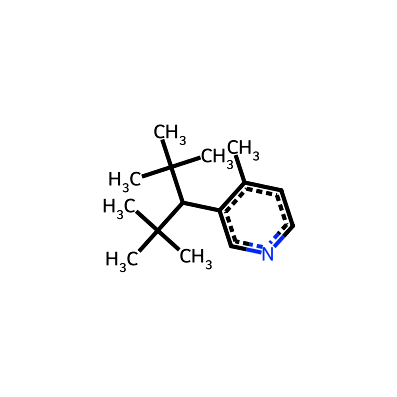 Cc1ccncc1C(C(C)(C)C)C(C)(C)C